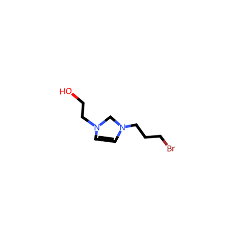 OCCN1C=CN(CCCBr)C1